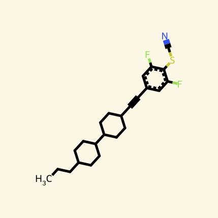 CCCC1CCC(C2CCC(C#Cc3cc(F)c(SC#N)c(F)c3)CC2)CC1